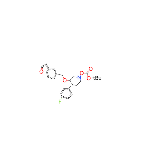 CC(C)(C)OC(=O)ON1CCC(c2ccc(F)cc2)C(OCc2ccc3occc3c2)C1